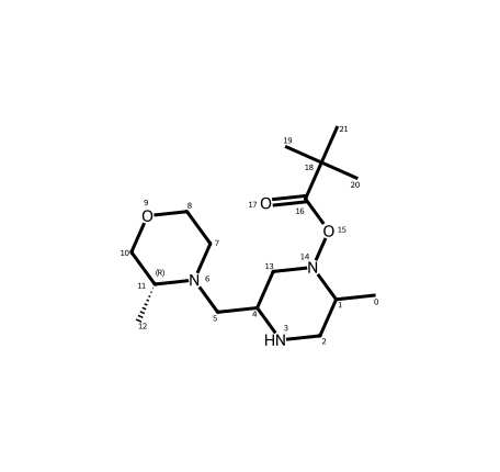 CC1CNC(CN2CCOC[C@H]2C)CN1OC(=O)C(C)(C)C